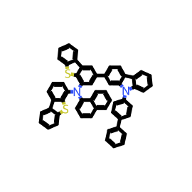 c1ccc(-c2ccc(-n3c4ccccc4c4ccc(-c5cc(N(c6cccc7ccccc67)c6cccc7c6sc6ccccc67)c6sc7ccccc7c6c5)cc43)cc2)cc1